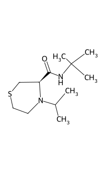 CC(C)N1CCSC[C@H]1C(=O)NC(C)(C)C